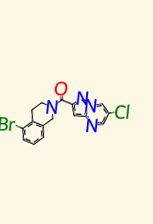 O=C(c1cc2ncc(Cl)cn2n1)N1CCc2c(Br)cccc2C1